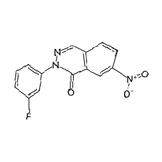 O=c1c2cc([N+](=O)[O-])ccc2cnn1-c1cccc(F)c1